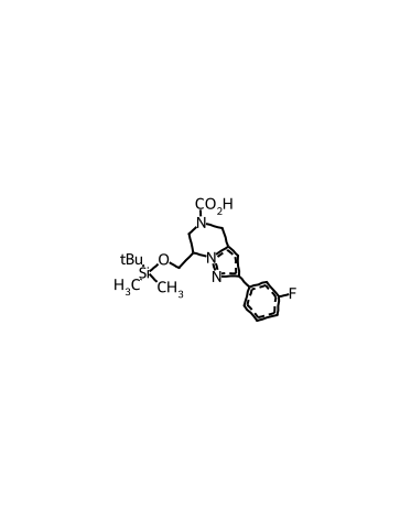 CC(C)(C)[Si](C)(C)OCC1CN(C(=O)O)Cc2cc(-c3cccc(F)c3)nn21